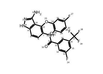 Nc1n[nH]c2ccc(NC(=O)c3cc(F)cc(C(F)(F)F)c3)c(Oc3cc(F)ccc3Cl)c12